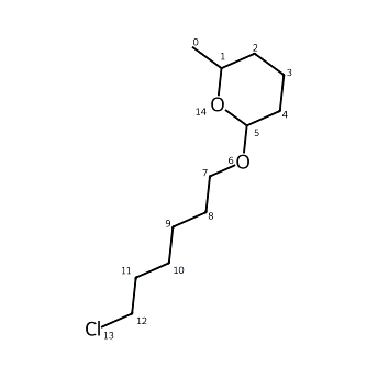 CC1CCCC(OCCCCCCCl)O1